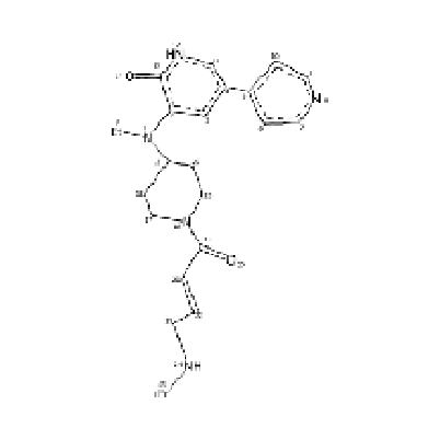 CCN(c1cc(-c2ccncc2)c[nH]c1=O)C1CCN(C(=O)C=CCNC(C)C)CC1